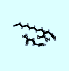 CCCCCCCCC(=CC#N)C(=O)O.N#CC=CC(=O)O